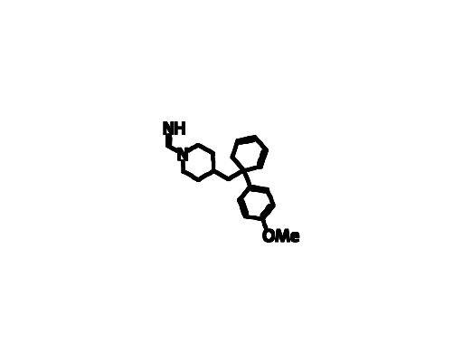 COc1ccc(C2(CC3CCN(C=N)CC3)C=CC=CC2)cc1